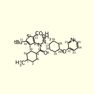 CC1CCC(C(=O)N(c2cc(C(C)(C)C)sc2C(=O)O)N(C)[C@H]2CC[C@H](Oc3cccnc3)CC2)CC1